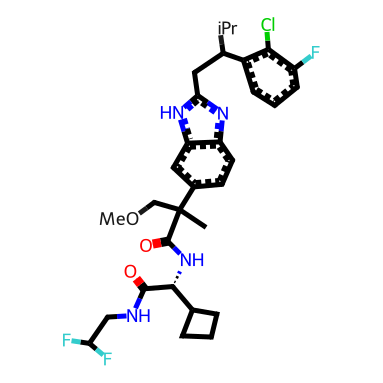 COCC(C)(C(=O)N[C@@H](C(=O)NCC(F)F)C1CCC1)c1ccc2nc(CC(c3cccc(F)c3Cl)C(C)C)[nH]c2c1